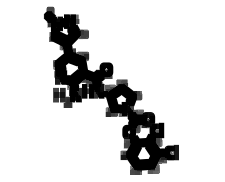 Cn1cc(-c2cnc(N)c(C(=O)N[C@@H]3CCN(C(=O)Oc4cccc(Cl)c4Cl)C3)c2)cn1